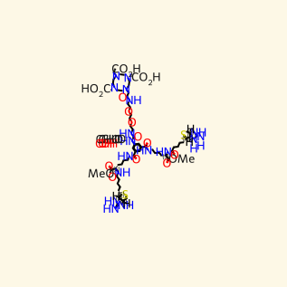 COC(=O)[C@H](CCCCNC(=O)c1cc(NC(=O)NCCOCCOCCNC(=O)CN2CCN(CC(=O)O)CCN(CC(=O)O)CCN(CC(=O)O)CC2)cc(C(=O)NCCCC[C@H](NC(=O)CCCC[C@@H]2SC[C@@H]3NC(=N)N[C@@H]32)C(=O)OC)c1)NC(=O)CCCC[C@@H]1SC[C@@H]2NC(=N)N[C@@H]21.O=CO.O=CO.O=CO